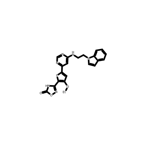 CCOc1cc(-c2cc(NCCn3ccc4ccccc43)ncn2)sc1-c1noc(=O)[nH]1